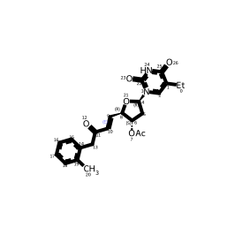 CCc1cn([C@H]2C[C@H](OC(C)=O)[C@@H](/C=C/C(=O)Cc3ccccc3C)O2)c(=O)[nH]c1=O